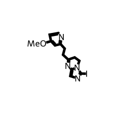 COc1ccnc(CCC2=Nc3cnc(I)n3CC2)c1